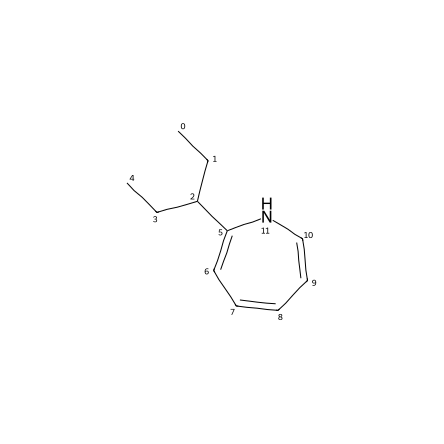 CCC(CC)C1=CC=CC=CN1